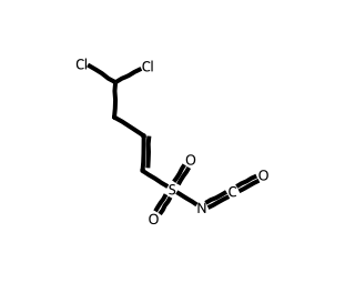 O=C=NS(=O)(=O)/C=C/CC(Cl)Cl